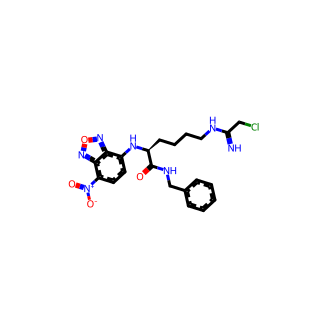 N=C(CCl)NCCCC[C@H](Nc1ccc([N+](=O)[O-])c2nonc12)C(=O)NCc1ccccc1